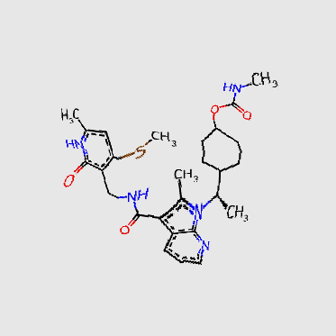 CNC(=O)OC1CCC([C@@H](C)n2c(C)c(C(=O)NCc3c(SC)cc(C)[nH]c3=O)c3cccnc32)CC1